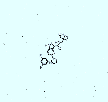 O=C(NCC1(CO)CCC1)c1n[nH]c2ccc(N3CCC[C@@H]3c3cc(F)cc(F)c3)nc12